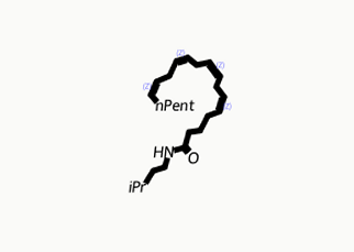 CCCCC/C=C\C/C=C\C/C=C\C/C=C\CCCC(=O)NCCC(C)C